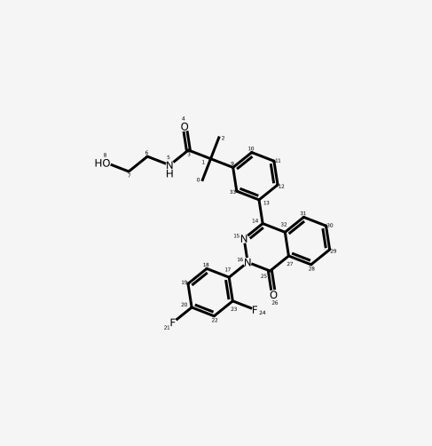 CC(C)(C(=O)NCCO)c1cccc(-c2nn(-c3ccc(F)cc3F)c(=O)c3ccccc23)c1